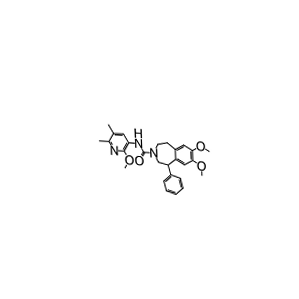 COc1cc2c(cc1OC)C(c1ccccc1)CN(C(=O)Nc1cc(C)c(C)nc1OC)CC2